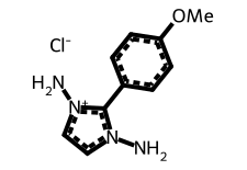 COc1ccc(-c2n(N)cc[n+]2N)cc1.[Cl-]